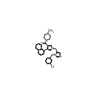 CN1CCN(C(=O)c2cn(Cc3cncn3Cc3cccc(Cl)c3)cc2-c2cccc3ccccc23)CC1